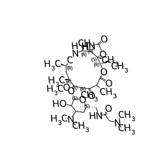 CC[C@H]1OC(=O)C(C)C(=O)[C@H](C)[C@@H](O[C@@H]2O[C@H](CNC(=O)CN(C)C)CC(N(C)C)C2O)[C@](C)(OC)C[C@@H](C)CN[C@H](C)[C@H]2NC(=O)O[C@@]21C